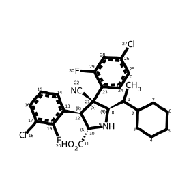 CC(C1CCCCC1)[C@H]1N[C@H](C(=O)O)[C@@H](c2cccc(Cl)c2F)[C@]1(C#N)c1ccc(Cl)cc1F